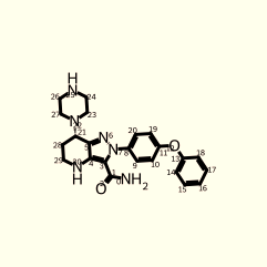 NC(=O)c1c2c(nn1-c1ccc(Oc3ccccc3)cc1)[C@@H](N1CCNCC1)CCN2